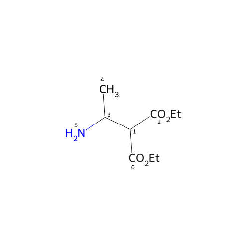 CCOC(=O)C(C(=O)OCC)C(C)N